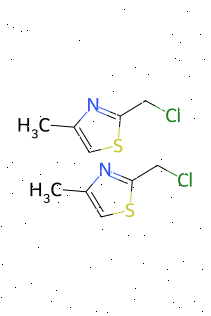 Cc1csc(CCl)n1.Cc1csc(CCl)n1